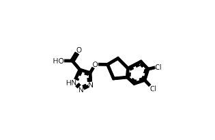 O=C(O)c1[nH]nnc1OC1Cc2cc(Cl)c(Cl)cc2C1